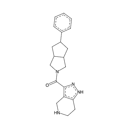 O=C(c1n[nH]c2c1CNCC2)N1CC2CC(c3ccccc3)CC2C1